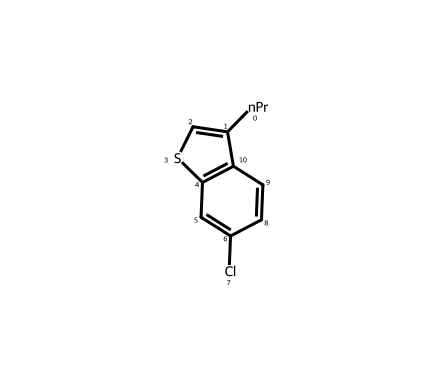 [CH2]CCc1csc2cc(Cl)ccc12